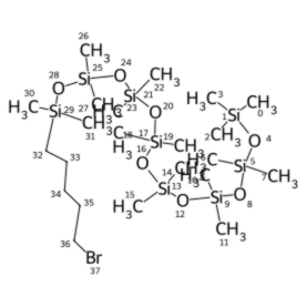 C[Si](C)(C)O[Si](C)(C)O[Si](C)(C)O[Si](C)(C)O[Si](C)(C)O[Si](C)(C)O[Si](C)(C)O[Si](C)(C)CCCCCBr